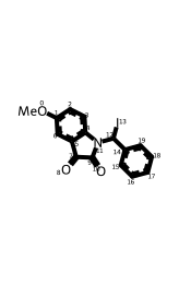 COc1ccc2c(c1)C(=O)C(=O)N2C(I)c1ccccc1